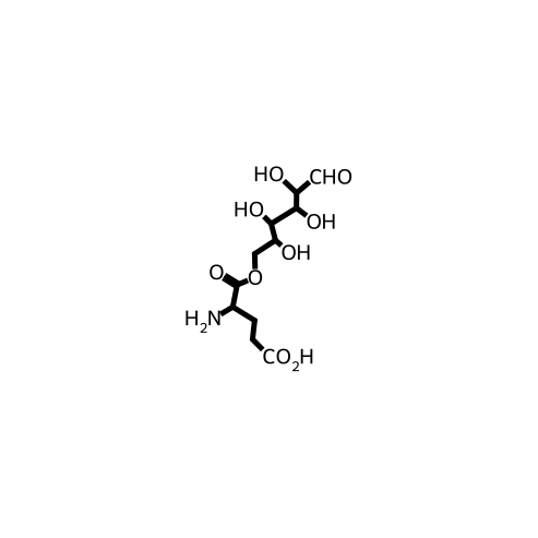 NC(CCC(=O)O)C(=O)OCC(O)C(O)C(O)C(O)C=O